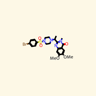 COc1cc2nc(C(C)N3CCN(S(=O)(=O)c4ccc(Br)cc4)CC3)n(C)c(=O)c2cc1OC